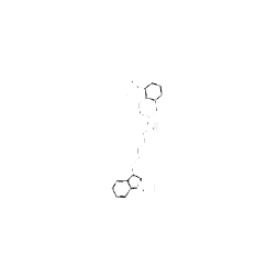 Nc1cccc2c1CCC(NCCCCCc1c[nH]c3ccccc13)C2